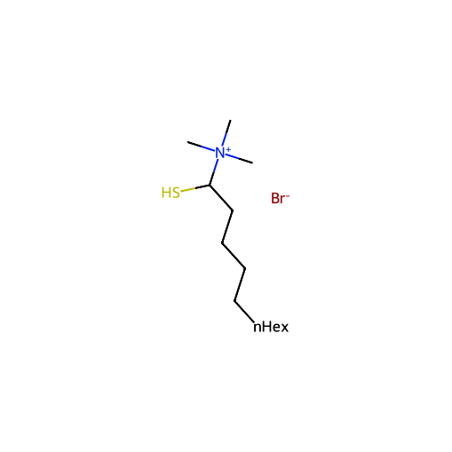 CCCCCCCCCCC(S)[N+](C)(C)C.[Br-]